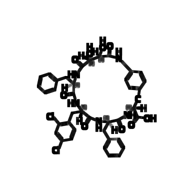 O=C1N[C@H](Cc2ccccc2)C(=O)N[C@@H](C(=O)O)Cc2ccc(cc2)NC(=O)[C@H](O)[C@@H](O)C(=O)N[C@H](Cc2ccccc2)C(=O)N[C@H]1Cc1ccc(Cl)cc1Cl